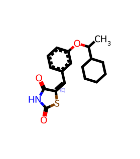 CC(Oc1cccc(/C=C2/SC(=O)NC2=O)c1)C1CCCCC1